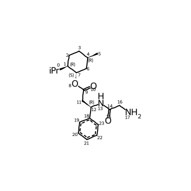 CC(C)[C@H]1CC[C@@H](C)C[C@@H]1OC(=O)C[C@@H](NC(=O)CN)c1ccccc1